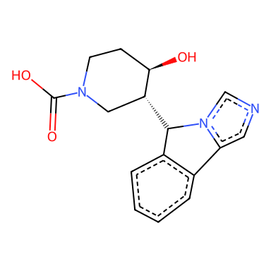 O=C(O)N1CC[C@@H](O)[C@H](C2c3ccccc3-c3cncn32)C1